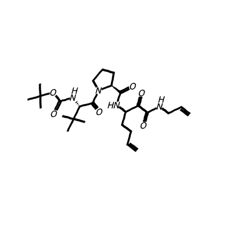 C=CCCC(NC(=O)[C@@H]1CCCN1C(=O)[C@@H](NC(=O)OC(C)(C)C)C(C)(C)C)C(=O)C(=O)NCC=C